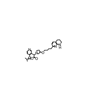 CC(C)Oc1ccncc1C(C(=O)O)N1CC[C@@H](OCCCCc2ccc3c(n2)NCCC3)C1